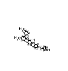 Cc1cccc(-c2nc(C)ccc2Oc2ccnc(Nc3cccc(CCc4nn[nH]n4)c3)c2)n1